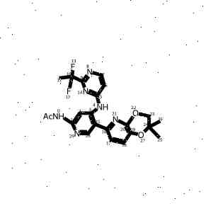 CC(=O)Nc1cc(Nc2ccnc(C(C)(F)F)n2)c(-c2ccc3c(n2)OCC(C)(C)O3)cn1